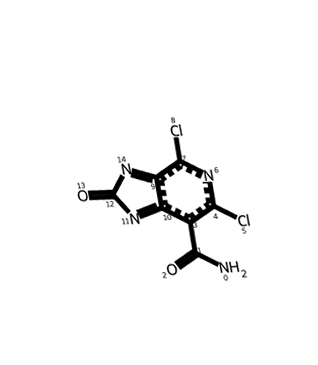 NC(=O)c1c(Cl)nc(Cl)c2c1=NC(=O)N=2